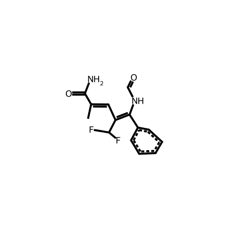 C/C(=C\C(=C(/NC=O)c1ccccc1)C(F)F)C(N)=O